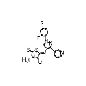 CN1C(=O)/C(=C/c2cn(-c3ccc(F)cc3F)nc2-c2cccnc2)SC1=S